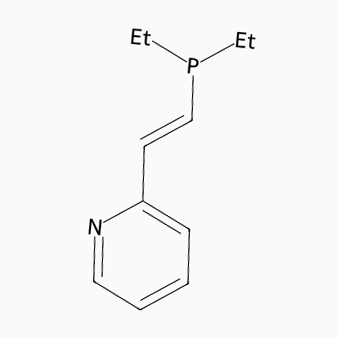 CCP(C=Cc1ccccn1)CC